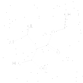 CCOC(=O)C(C(C)O)C(Cl)Cl